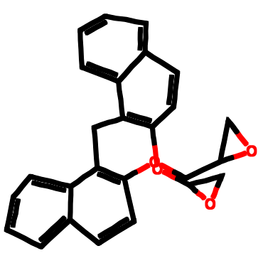 c1ccc2c(Cc3c(OC4CO4)ccc4ccccc34)c(OCC3CO3)ccc2c1